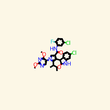 CCC(C)c1c(C2C(=O)Nc3cc(Cl)ccc32)c(C(=O)Nc2cc(Cl)ccc2F)cn1-c1cnc(OC)nc1OC